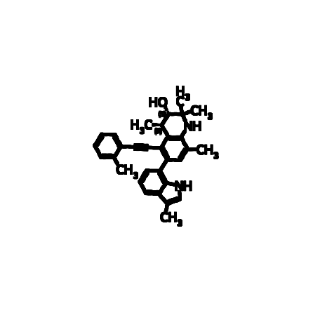 Cc1ccccc1C#Cc1c(-c2cccc3c(C)c[nH]c23)cc(C)c2c1[C@@H](C)[C@H](O)C(C)(C)N2